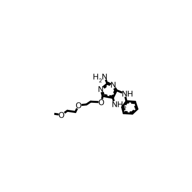 COCCOCCOc1nc(N)nc(Nc2ccccc2)c1N